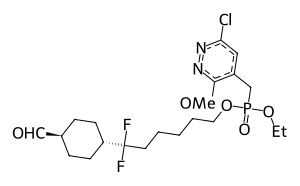 CCOP(=O)(Cc1cc(Cl)nnc1OC)OCCCCCC(F)(F)[C@H]1CC[C@H](C=O)CC1